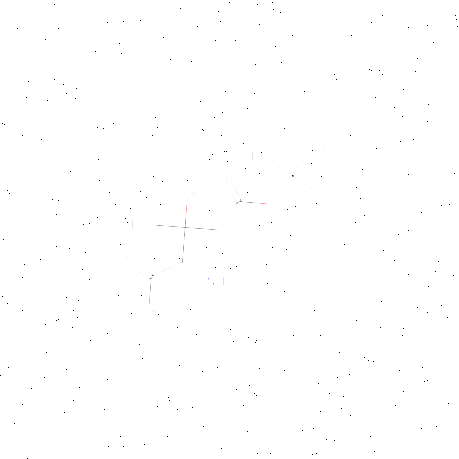 CC(C)(C)OC(=O)CC(C)(O)C(N)C(=O)O